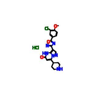 COc1ccc(-c2nc(-c3cnn4c(C5CCNCC5)cc(=O)[nH]c34)no2)cc1Cl.Cl